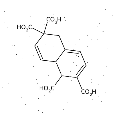 O=C(O)C1=CC=C2CC(C(=O)O)(C(=O)O)C=CC2C1C(=O)O